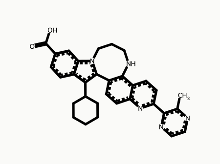 Cc1nccnc1-c1ccc2c3c(ccc2n1)-c1c(C2CCCCC2)c2ccc(C(=O)O)cc2n1CCCN3